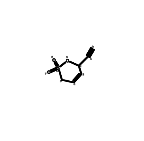 C#CC1C=CCS(=O)(=O)O1